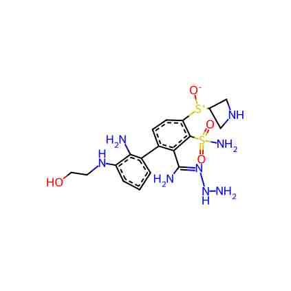 NN/N=C(\N)c1c(-c2cccc(NCCO)c2N)ccc([S+]([O-])C2CNC2)c1S(N)(=O)=O